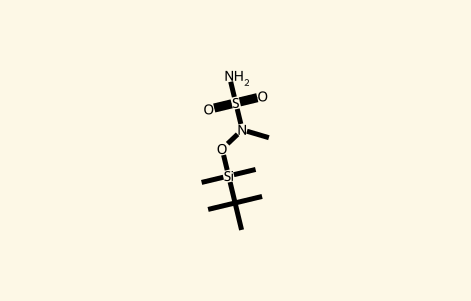 CN(O[Si](C)(C)C(C)(C)C)S(N)(=O)=O